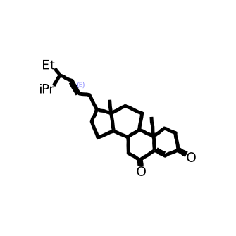 CCC(/C=C/CC1CCC2C3CC(=O)C4=CC(=O)CCC4(C)C3CCC12C)C(C)C